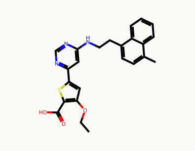 CCOc1cc(-c2cc(NCCc3ccc(C)c4ccccc34)ncn2)sc1C(=O)O